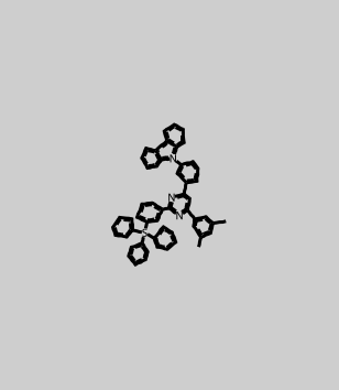 Cc1cc(C)cc(-c2cc(-c3cccc(-n4c5ccccc5c5ccccc54)c3)nc(-c3cccc(S(c4ccccc4)(c4ccccc4)c4ccccc4)c3)n2)c1